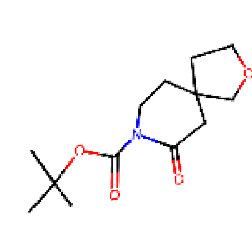 CC(C)(C)OC(=O)N1CCC2(CCOC2)CC1=O